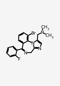 CN(C)Cc1cnc2n1-c1c(Br)cccc1C(c1ccccc1F)=NC2